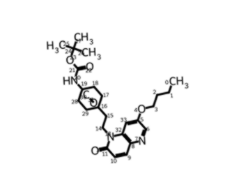 CCCCOc1cnc2ccc(=O)n(CCC34CCC(NC(=O)OC(C)(C)C)(CC3)CO4)c2c1